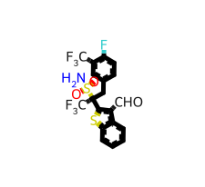 NS(=O)(=O)C(Cc1ccc(F)c(C(F)(F)F)c1)(c1sc2ccccc2c1C=O)C(F)(F)F